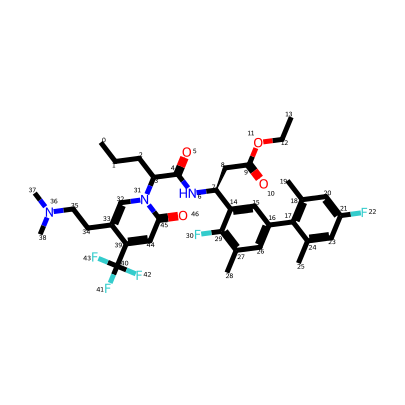 CCCC(C(=O)N[C@@H](CC(=O)OCC)c1cc(-c2c(C)cc(F)cc2C)cc(C)c1F)n1cc(CCN(C)C)c(C(F)(F)F)cc1=O